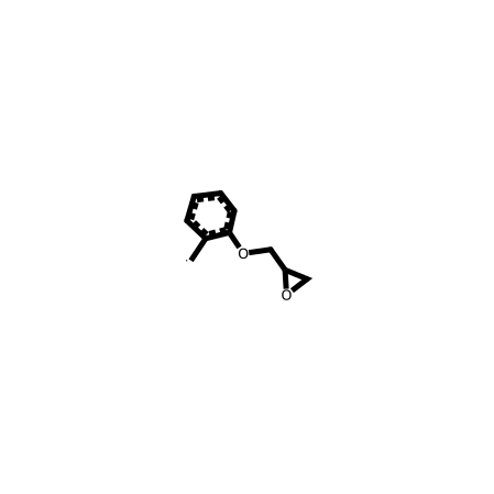 [CH2]c1ccccc1OCC1CO1